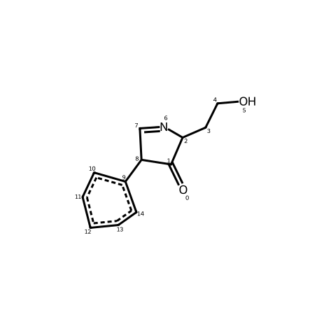 O=C1C(CCO)N=CC1c1ccccc1